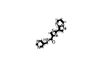 O=C(NCc1cncnc1)c1csc(-c2cnn3cccnc23)n1